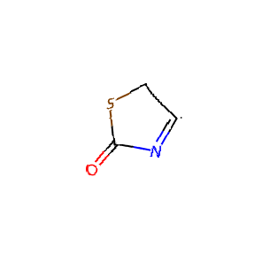 O=C1N=[C]CS1